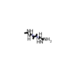 CC(=N)N/N=C(C)/C(C)=N/NC(=N)N